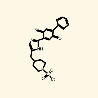 CCS(=O)(=O)N1CCC(Cc2cnc(C3=CC(=O)C(c4ccccc4)=CC3=N)[nH]2)CC1